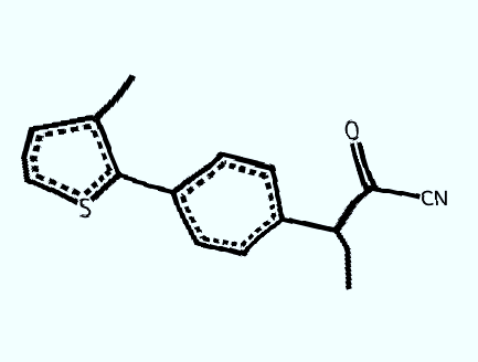 Cc1ccsc1-c1ccc(C(C)C(=O)C#N)cc1